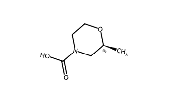 C[C@H]1CN(C(=O)O)CCO1